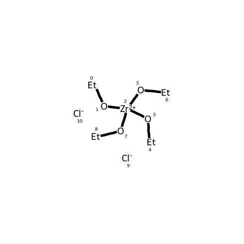 CC[O][Zr+2]([O]CC)([O]CC)[O]CC.[Cl-].[Cl-]